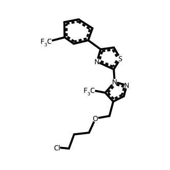 FC(F)(F)c1cccc(-c2csc(-n3ncc(COCCCCl)c3C(F)(F)F)n2)c1